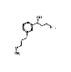 COCCCc1cccc(C(O)CCN)c1